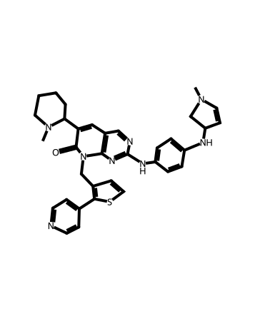 CN1C=CC(Nc2ccc(Nc3ncc4cc(C5CCCCN5C)c(=O)n(Cc5ccsc5-c5ccncc5)c4n3)cc2)C1